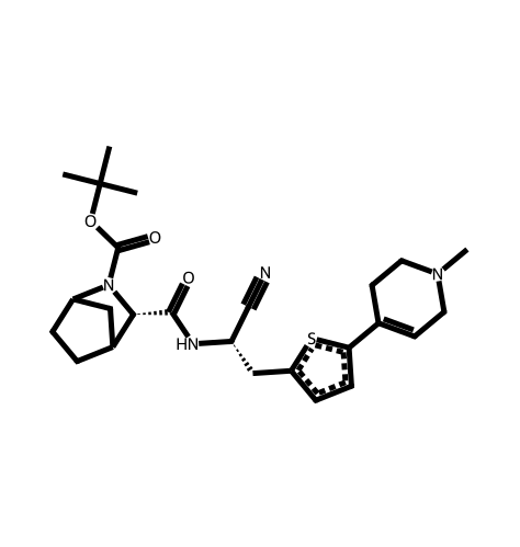 CN1CC=C(c2ccc(C[C@@H](C#N)NC(=O)[C@@H]3C4CCC(C4)N3C(=O)OC(C)(C)C)s2)CC1